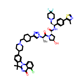 Cc1ncsc1-c1ccc([C@H](CN2CCC(F)(F)CC2)NC(=O)[C@@H]2C[C@@H](O)CN2C(=O)[C@@H](n2cc(C3CCC(CN4CCC(c5ccc6c(c5)-n5c(nc(=O)c7c(Cl)cccc75)C6(C)C)CC4)CC3)nn2)C(C)(C)C)cc1